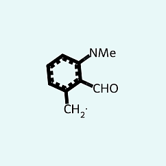 [CH2]c1cccc(NC)c1C=O